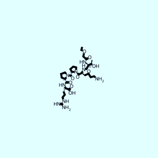 CCOCC(=O)N[C@H](C(=O)N[C@@H](CCCCN)C(=O)N1CCC[C@H]1C(=O)N1CCC[C@H]1C(=O)N[C@@H](CCCNC(=N)N)C(=O)O)[C@@H](C)O